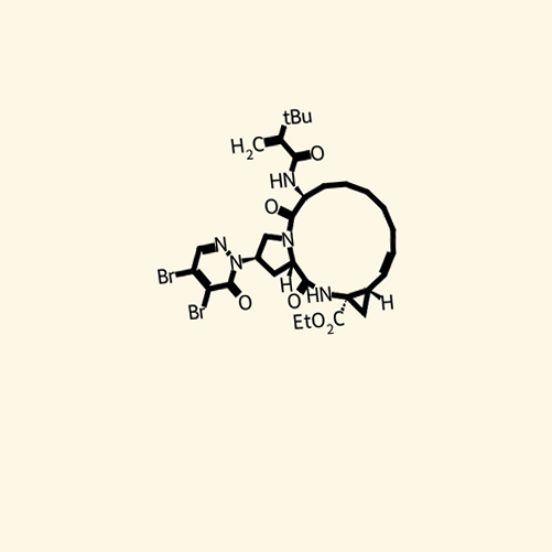 C=C(C(=O)N[C@H]1CCCCC/C=C\[C@@H]2C[C@@]2(C(=O)OCC)NC(=O)[C@@H]2C[C@@H](n3ncc(Br)c(Br)c3=O)CN2C1=O)C(C)(C)C